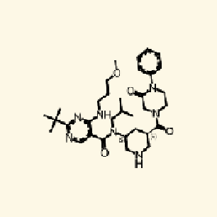 COCCCNc1nc(C(C)(C)C)ncc1C(=O)N(CC(C)C)[C@@H]1CNC[C@H](C(=O)N2CCN(c3ccccc3)C(=O)C2)C1